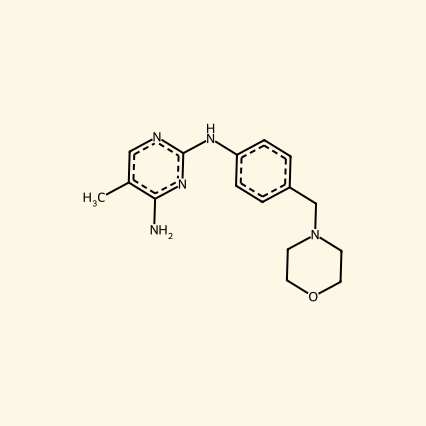 Cc1cnc(Nc2ccc(CN3CCOCC3)cc2)nc1N